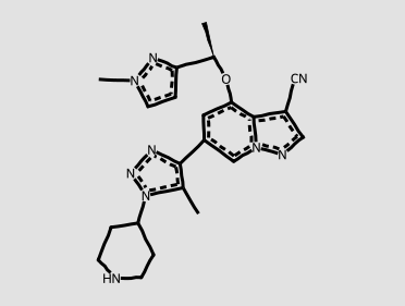 Cc1c(-c2cc(O[C@H](C)c3ccn(C)n3)c3c(C#N)cnn3c2)nnn1C1CCNCC1